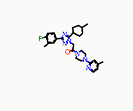 Cc1ccnc(N2CCN(C(=O)Cn3nc(-c4ccc(F)c(C)c4)nc3C3CCC(C)CC3)CC2)c1